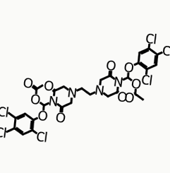 CC(=O)OC(Oc1cc(Cl)c(Cl)cc1Cl)N1C(=O)CN(CCN2CC(=O)N(C(OC(C)=O)Oc3cc(Cl)c(Cl)cc3Cl)C(=O)C2)CC1=O